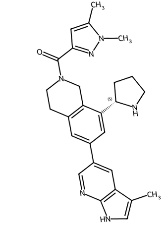 Cc1c[nH]c2ncc(-c3cc4c(c([C@@H]5CCCN5)c3)CN(C(=O)c3cc(C)n(C)n3)CC4)cc12